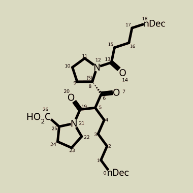 CCCCCCCCCCCCCCC(C(=O)[C@@H]1CCCN1C(=O)CCCCCCCCCCCCC)C(=O)N1CCCC1C(=O)O